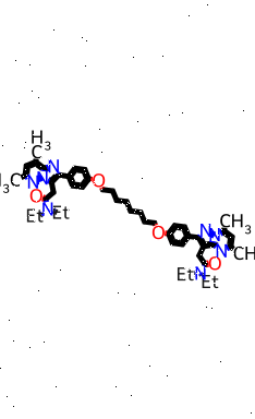 CCN(CC)C(=O)Cc1c(-c2ccc(OCCCCCCCCOc3ccc(-c4nc5c(C)cc(C)nn5c4CC(=O)N(CC)CC)cc3)cc2)nn2c(C)cc(C)nc12